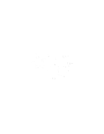 O=C1C=CC(O)(CO)C1c1ccc2c(c1)OCO2